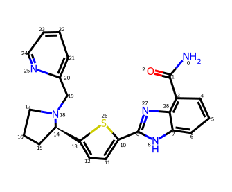 NC(=O)c1cccc2[nH]c(-c3ccc([C@H]4CCCN4Cc4ccccn4)s3)nc12